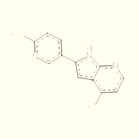 FC(F)(F)c1ccc(-c2cc3c(Cl)ccnc3[nH]2)cn1